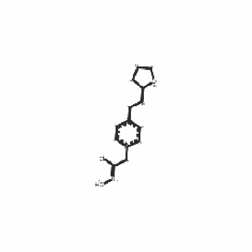 ON=C(Cl)Cc1ccc(CCC2CCCO2)cc1